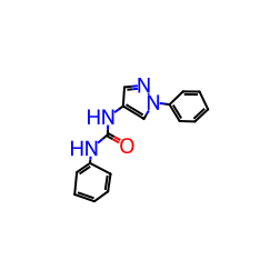 O=C(Nc1ccccc1)Nc1cnn(-c2ccccc2)c1